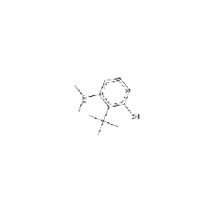 C[SiH](C)c1cccc(S)c1C(C)(C)C